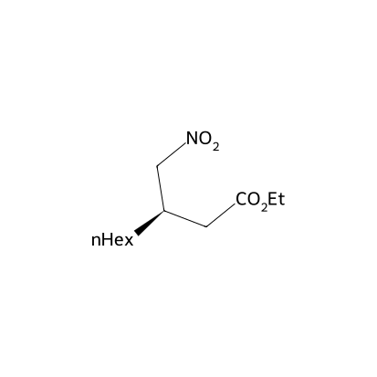 CCCCCC[C@H](CC(=O)OCC)C[N+](=O)[O-]